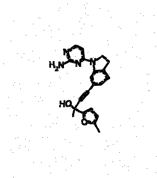 Cc1ccc(C(C)(O)C#Cc2ccc3c(c2)N(c2ccnc(N)n2)CC3)o1